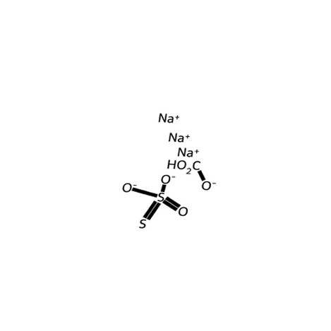 O=C([O-])O.O=S([O-])([O-])=S.[Na+].[Na+].[Na+]